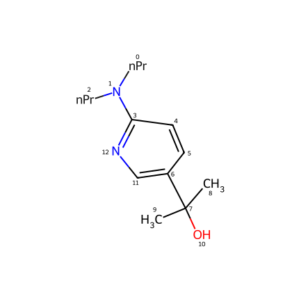 CCCN(CCC)c1ccc(C(C)(C)O)cn1